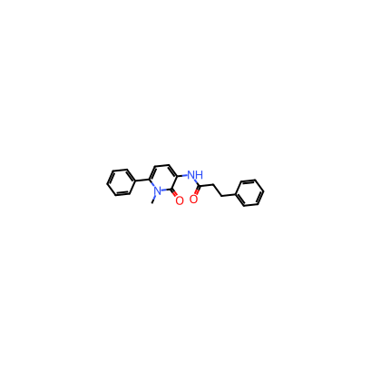 Cn1c(-c2ccccc2)ccc(NC(=O)CCc2ccccc2)c1=O